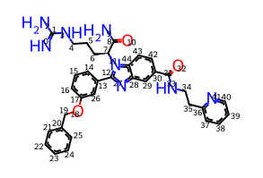 N=C(N)NCCC[C@@H](C(N)=O)n1c(-c2cccc(OCc3ccccc3)c2)nc2cc(C(=O)NCCc3ccccn3)ccc21